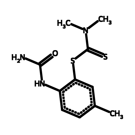 Cc1ccc(NC(N)=O)c(SC(=S)N(C)C)c1